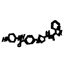 C[C@@H](NC1CC[C@H](c2ccc(C(=O)NC3CCNCC3)cc2)C1)c1cnn2ccccc12